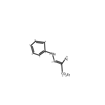 CCOC(=O)C(=NNc1ccccc1)C(C)=O